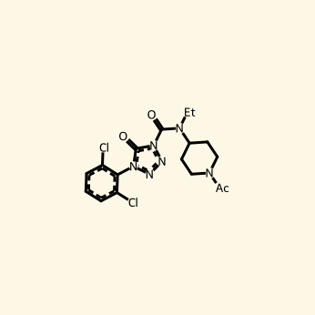 CCN(C(=O)n1nnn(-c2c(Cl)cccc2Cl)c1=O)C1CCN(C(C)=O)CC1